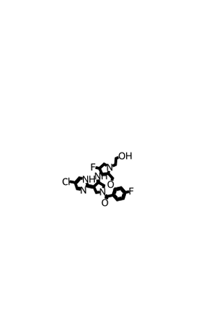 N=C1CN(C(=O)c2ccc(F)cc2OCC2CC(F)CN2CCO)C/C1=C1\N=CC(Cl)=CN1